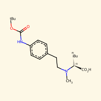 CC[C@@H](C)[C@@H](C(=O)O)N(C)CCc1ccc(NC(=O)OC(C)(C)C)cc1